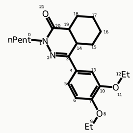 CCCCCN1N=C(c2ccc(OCC)c(OCC)c2)C2CCCCC2C1=O